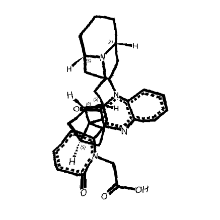 CC1(C)[C@H]2CC[C@@H](CCN3[C@@H]4CCC[C@H]3CC(n3c(=O)c(-c5cccc(=O)n5CC(=O)O)nc5ccccc53)C4)[C@H]1C2